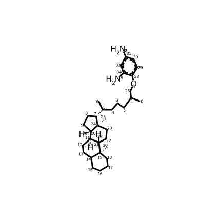 CC(CCCC(C)[C@H]1CC[C@H]2[C@@H]3CCC4CCCC[C@]4(C)[C@H]3CC[C@]12C)COc1ccc(N)cc1N